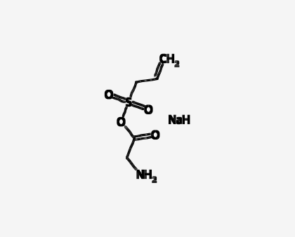 C=CCS(=O)(=O)OC(=O)CN.[NaH]